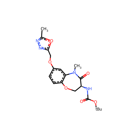 Cc1nnc(COc2ccc3c(c2)N(C)C(=O)[C@@H](NC(=O)OC(C)(C)C)CO3)o1